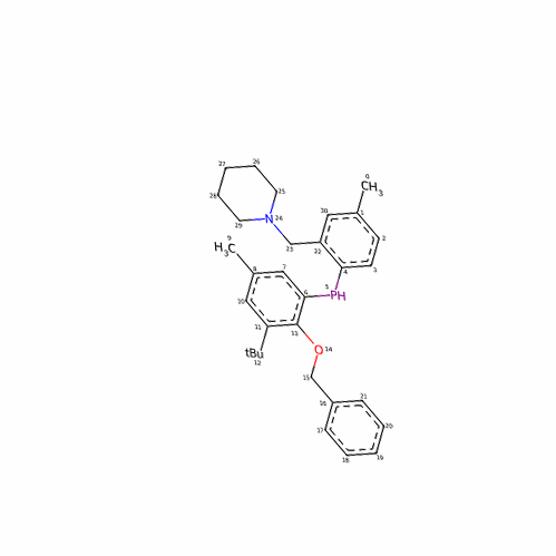 Cc1ccc(Pc2cc(C)cc(C(C)(C)C)c2OCc2ccccc2)c(CN2CCCCC2)c1